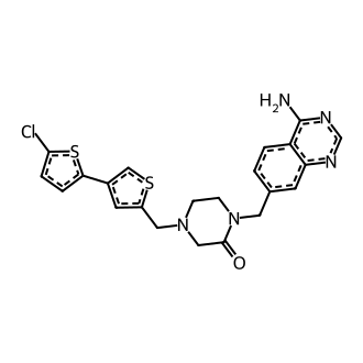 Nc1ncnc2cc(CN3CCN(Cc4cc(-c5ccc(Cl)s5)cs4)CC3=O)ccc12